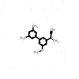 C#C[C@@H](C)c1cc(OC)cc(-c2cc(C)cc(C)c2)c1